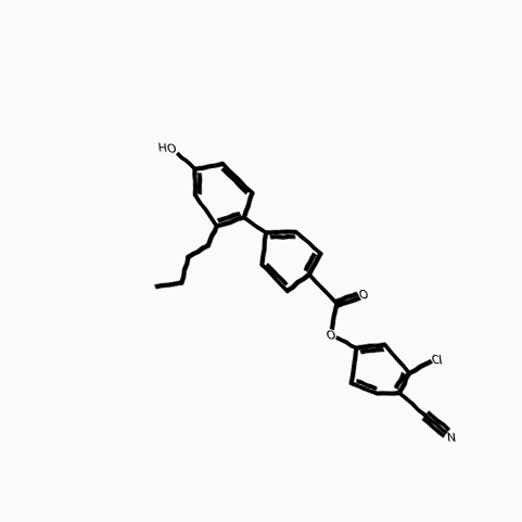 CCCCc1cc(O)ccc1-c1ccc(C(=O)Oc2ccc(C#N)c(Cl)c2)cc1